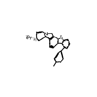 CC1C=CC(c2cccc3c2C2C=CC4=C(CN5C=C[C@@H](C(C)C)CC45)C2S3)=CC1